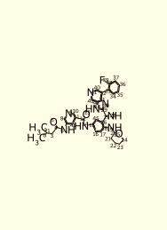 CC(C)CC(=O)Nc1cncc(C(=O)Nc2ccc(NC3CCCCO3)c(C(=N)c3nc4c(-c5ccccc5F)cncc4[nH]3)c2)c1